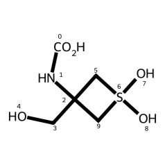 O=C(O)NC1(CO)CS(O)(O)C1